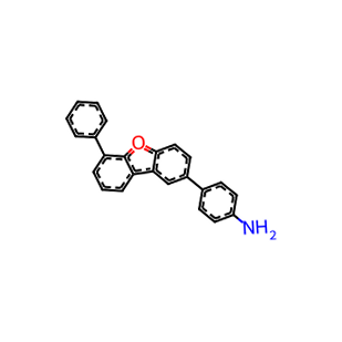 Nc1ccc(-c2ccc3oc4c(-c5ccccc5)cccc4c3c2)cc1